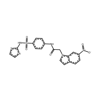 O=C(Cn1ccc2ccc([N+](=O)[O-])cc21)Nc1ccc(S(=O)(=O)Nc2nccs2)cc1